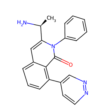 C[C@H](N)c1cc2cccc(-c3ccnnc3)c2c(=O)n1-c1ccccc1